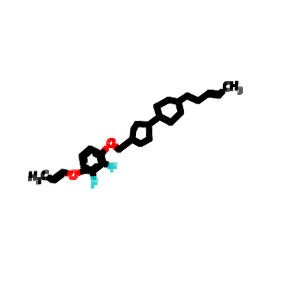 C/C=C/CCC1CCC(C2CCC(COc3ccc(O/C=C/C)c(F)c3F)CC2)CC1